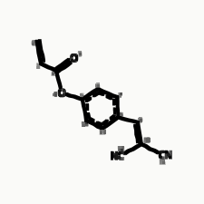 C=CC(=O)Oc1ccc(C=C(C#N)C#N)cc1